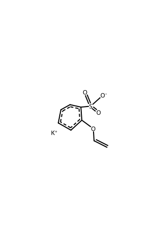 C=COc1ccccc1S(=O)(=O)[O-].[K+]